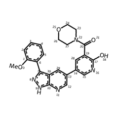 COc1ccccc1-c1n[nH]c2ncc(-c3cnc(O)c(C(=O)N4CCOCC4)c3)cc12